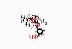 CC(C)(C)OC(=O)C(C)(C)OCC1CCC[C@@H](CO)C1